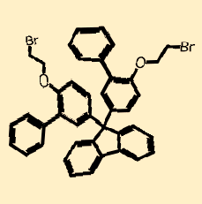 BrCCOc1ccc(C2(c3ccc(OCCBr)c(-c4ccccc4)c3)c3ccccc3-c3ccccc32)cc1-c1ccccc1